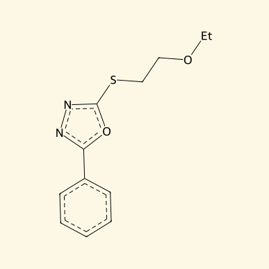 CCOCCSc1nnc(-c2ccccc2)o1